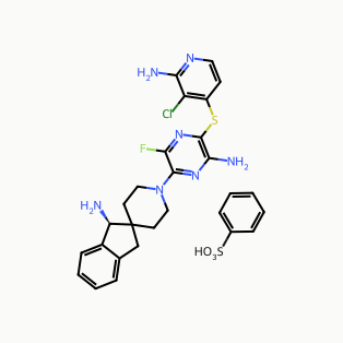 Nc1nc(N2CCC3(CC2)Cc2ccccc2[C@H]3N)c(F)nc1Sc1ccnc(N)c1Cl.O=S(=O)(O)c1ccccc1